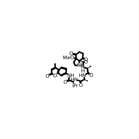 COC12CCN[C@@]1(C(=O)N[C@@H](C)C(=O)N[C@@H](C)C(=O)N[C@H](C(=O)Nc1ccc3c(C)cc(=O)oc3c1)C(C)C)C(=O)CCC2=O